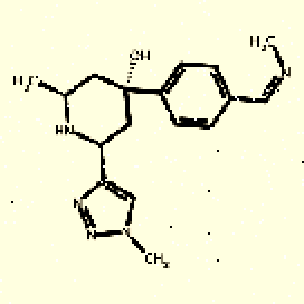 C/N=C\c1ccc([C@@]2(O)C[C@@H](c3cn(C)nn3)N[C@@H](C)C2)cc1